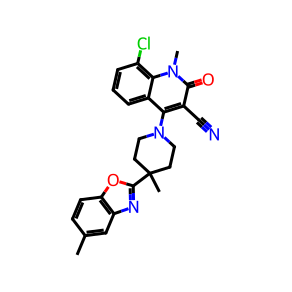 Cc1ccc2oc(C3(C)CCN(c4c(C#N)c(=O)n(C)c5c(Cl)cccc45)CC3)nc2c1